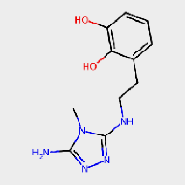 Cn1c(N)nnc1NCCc1cccc(O)c1O